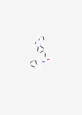 O=C1N=C(Nc2c(Cl)cccc2Cl)S/C1=C\c1ccc2ncc3nccn3c2c1